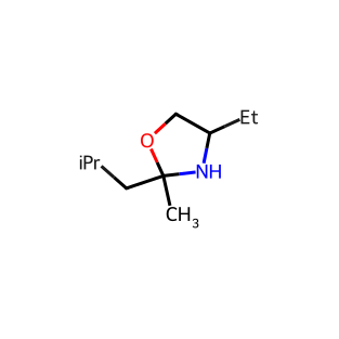 CCC1COC(C)(CC(C)C)N1